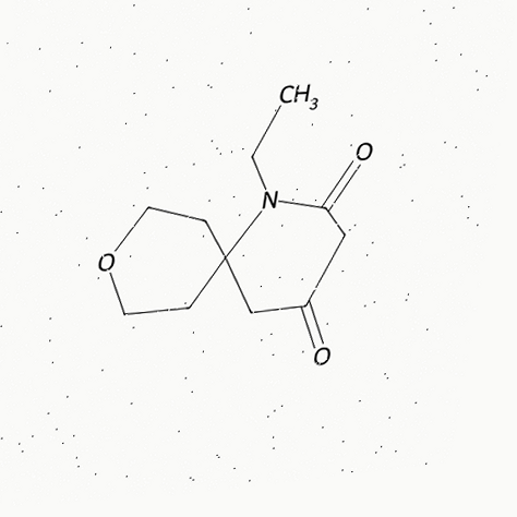 CCN1C(=O)CC(=O)CC12CCOCC2